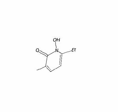 CCc1ccc(C)c(=O)n1O